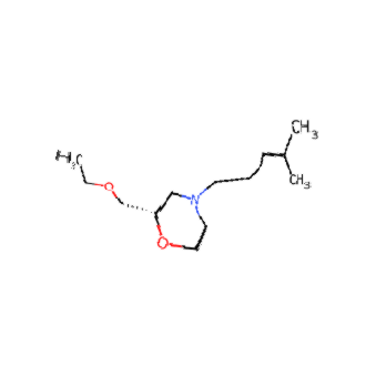 CCOC[C@@H]1CN(CCCC(C)C)CCO1